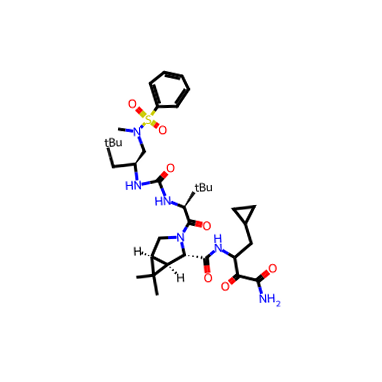 CN(C[C@H](CC(C)(C)C)NC(=O)N[C@H](C(=O)N1C[C@H]2[C@@H]([C@H]1C(=O)NC(CC1CC1)C(=O)C(N)=O)C2(C)C)C(C)(C)C)S(=O)(=O)c1ccccc1